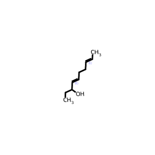 C/C=C/CC/C=C/C(O)CC